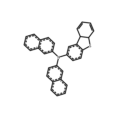 C1=CC2Sc3ccc(N(c4ccc5ccccc5c4)c4ccc5ccccc5c4)cc3C2C=C1